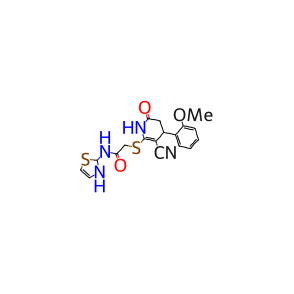 COc1ccccc1C1CC(=O)NC(SCC(=O)NC2NC=CS2)=C1C#N